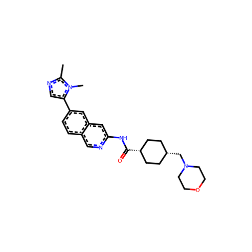 Cc1ncc(-c2ccc3cnc(NC(=O)[C@H]4CC[C@@H](CN5CCOCC5)CC4)cc3c2)n1C